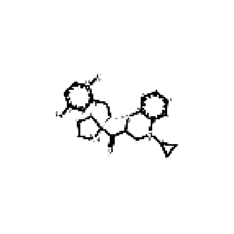 O=C(C1CN(C2CC2)c2ccccc2N1)[C@]1(CCc2cc(Cl)ccc2Cl)CCCN1